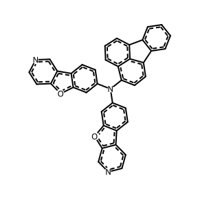 c1ccc2c(c1)-c1cccc3c(N(c4ccc5c(c4)oc4cnccc45)c4ccc5c(c4)oc4ccncc45)ccc-2c13